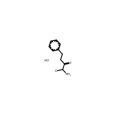 Cl.NC(Cl)C(=O)CCc1ccccc1